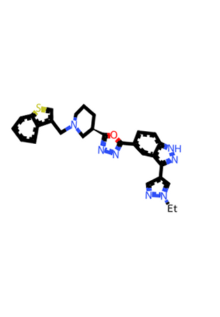 CCn1cc(-c2n[nH]c3ccc(-c4nnc([C@@H]5CCCN(Cc6csc7ccccc67)C5)o4)cc23)cn1